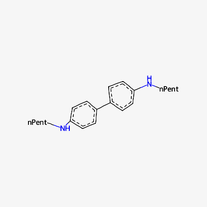 CCCCCNc1ccc(-c2ccc(NCCCCC)cc2)cc1